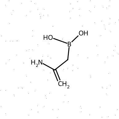 C=C(N)CB(O)O